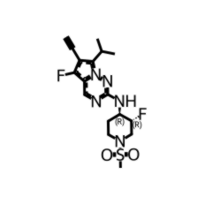 C#Cc1c(F)c2cnc(N[C@@H]3CCN(S(C)(=O)=O)C[C@H]3F)nn2c1C(C)C